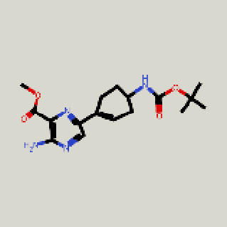 COC(=O)c1nc(C2=CCC(NC(=O)OC(C)(C)C)CC2)cnc1N